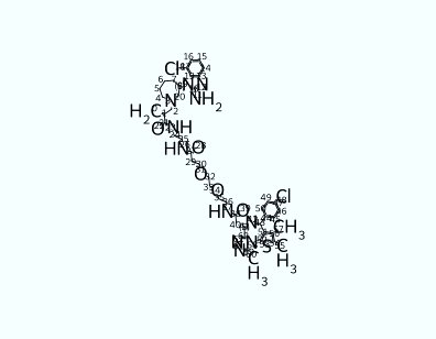 C=C(CN1CCCC[C@H](n2c(N)nc3cccc(Cl)c32)C1)C(=O)NCCNC(=O)CCOCCOCCNC(=O)C[C@@H]1N=C(c2ccc(Cl)cc2)c2c(sc(C)c2C)-n2c(C)nnc21